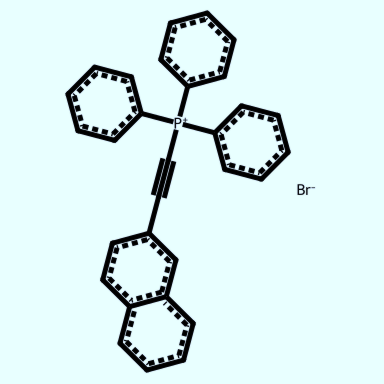 C(#C[P+](c1ccccc1)(c1ccccc1)c1ccccc1)c1ccc2ccccc2c1.[Br-]